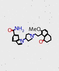 COc1ccc2c(c1CCN1CCC(n3ccc4ccc(C(N)=O)cc43)CC1)C(=O)CCC2